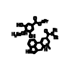 CCCOC(=O)c1cc(O)c(O)c(O)c1.CCN(CC)C(=O)[C@@H]1C=C2c3cccc4[nH]cc(c34)C[C@H]2N(C)C1.[SeH2]